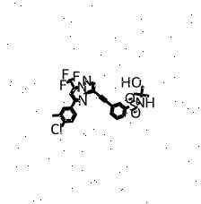 Cc1cc(-c2cc(C(F)(F)F)n3ncc(C#Cc4cccc(S(=O)(=O)NC(C)(C)CO)c4)c3n2)ccc1Cl